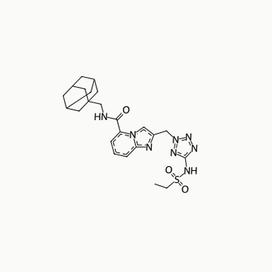 CCS(=O)(=O)Nc1nnn(Cc2cn3c(C(=O)NCC45CC6CC(CC(C6)C4)C5)cccc3n2)n1